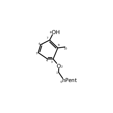 CCCCCCOc1cc[c]c(O)c1C